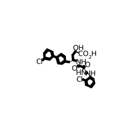 O=C(NNc1ccccc1Cl)C(=O)N[C@H](Cc1ccc(-c2cccc(Cl)c2)cc1)C[C@@H](O)C(=O)O